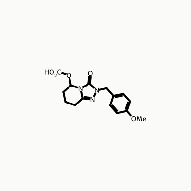 COc1ccc(Cn2nc3n(c2=O)C(OC(=O)O)CCC3)cc1